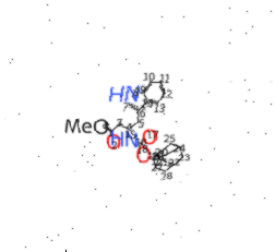 COC(=O)CC(Cc1c[nH]c2ccccc12)NC(=O)OC1C2CC3CC(C2)CC1C3